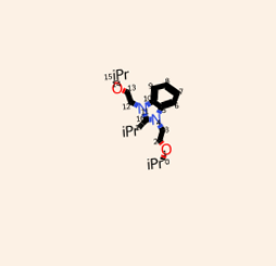 CC(C)OCCN1c2ccccc2N(CCOC(C)C)C1C(C)C